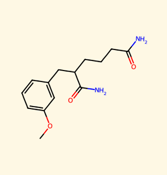 COc1cccc(CC(CCCC(N)=O)C(N)=O)c1